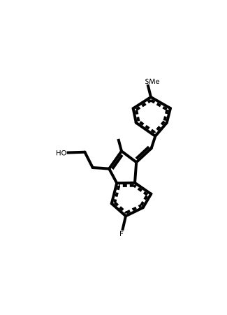 CSc1ccc(C=C2C(C)=C(CCO)c3cc(F)ccc32)cc1